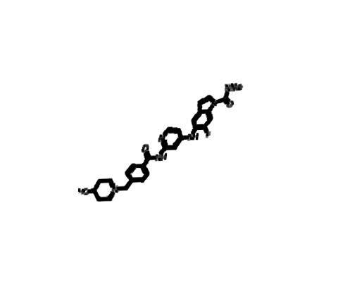 CNC(=O)n1ccc2cc(Nc3ccnc(NC(=O)c4ccc(CN5CCC(O)CC5)cc4)c3)c(F)cc21